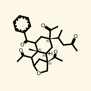 CC(=O)CC(C)[C@]1(C(C)=O)CC(C(=O)c2ccccc2)[C@@]2(C)C(C(C)=O)C3C[C@@](C(C)=O)(CO3)[C@@H]2C1